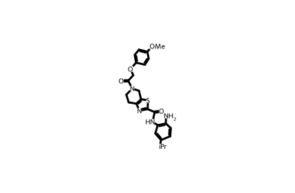 COc1ccc(OCC(=O)N2CCc3nc(C(=O)Nc4cc(C(C)C)ccc4N)sc3C2)cc1